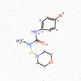 CN(SN1CCOCC1)C(=O)Nc1ccc(Br)cc1